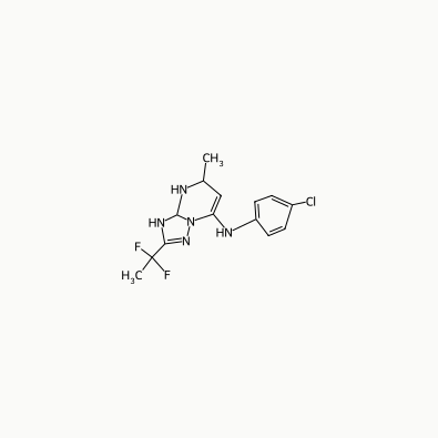 CC1C=C(Nc2ccc(Cl)cc2)N2N=C(C(C)(F)F)NC2N1